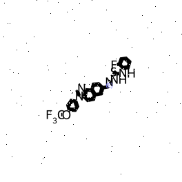 Fc1ccccc1NC(=S)N/N=C/c1ccc2c(ccc3c2ncn3-c2ccc(OC(F)(F)F)cc2)c1